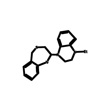 CCN1CCN(C2CSCc3ccccc3[N]2)c2ccccc21